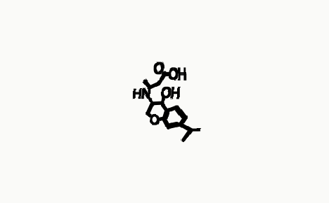 CC(CC(=O)O)N[C@@H]1COc2cc(C(C)C)ccc2[C@@H]1O